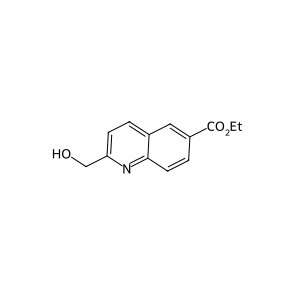 CCOC(=O)c1ccc2nc(CO)ccc2c1